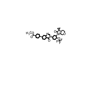 COC(=O)c1ccc(-c2ccc3c(=O)n(-c4ccc(OC(F)(F)F)c(NC(=O)C5(N6CCOCC6)CC5)c4)cnc3c2)cc1